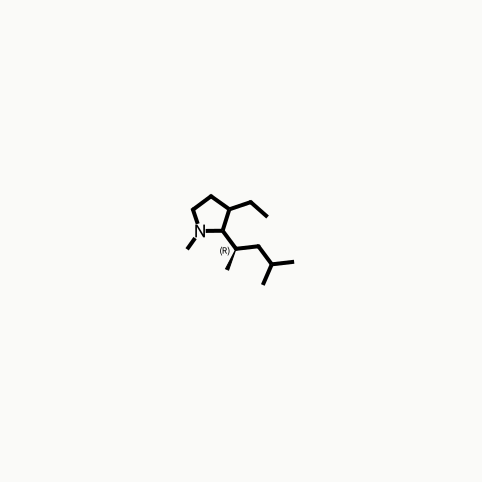 CCC1CCN(C)C1[C@H](C)CC(C)C